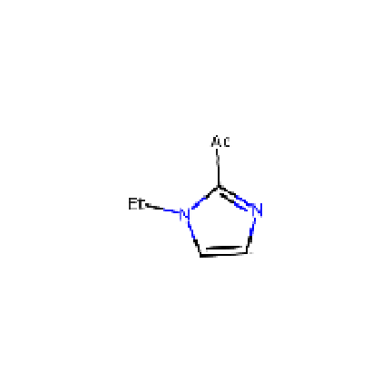 CCn1c[c]nc1C(C)=O